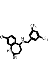 CC(C)C1CCC(NCc2cc(C(F)(F)F)cc(C(F)(F)F)c2)c2ccc(Cl)cc2N1